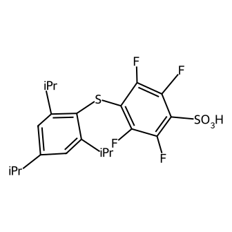 CC(C)c1cc(C(C)C)c(Sc2c(F)c(F)c(S(=O)(=O)O)c(F)c2F)c(C(C)C)c1